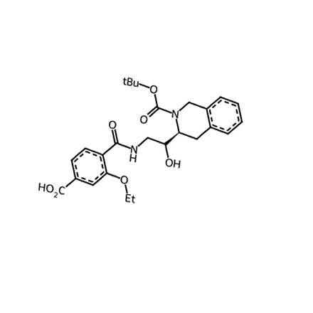 CCOc1cc(C(=O)O)ccc1C(=O)NCC(O)[C@@H]1Cc2ccccc2CN1C(=O)OC(C)(C)C